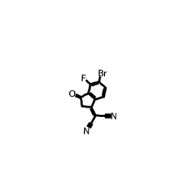 N#CC(C#N)=C1CC(=O)c2c1ccc(Br)c2F